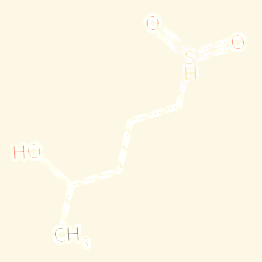 CC(O)CCC[SH](=O)=O